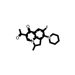 CC(=O)c1cn2c3c(c(N4CCCCC4)c(F)cc3c1=O)CC2C